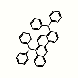 C1=CCCC(N(c2ccccc2)c2c3ccccc3cc3c2ccc2c(N(c4ccccc4)c4ccccc4)cccc23)=C1